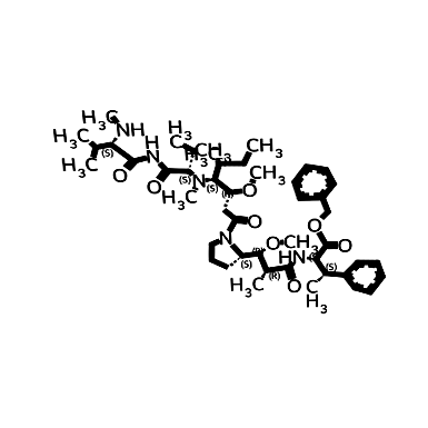 CC[C@H](C)[C@@H]([C@@H](CC(=O)N1CCC[C@H]1[C@H](OC)[C@@H](C)C(=O)N[C@H](C(=O)OCc1ccccc1)[C@@H](C)c1ccccc1)OC)N(C)[C@H](C(=O)NC(=O)[C@@H](NC)C(C)C)C(C)C